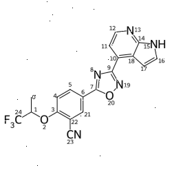 CC(Oc1ccc(-c2nc(-c3ccnc4[nH]ccc34)no2)cc1C#N)C(F)(F)F